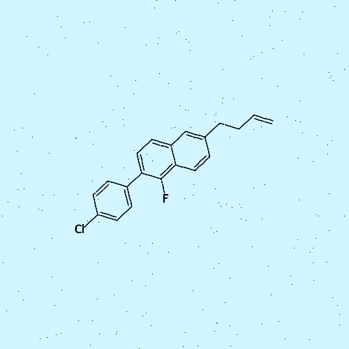 C=CCCc1ccc2c(F)c(-c3ccc(Cl)cc3)ccc2c1